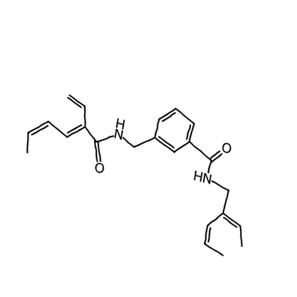 C=C/C(=C\C=C/C)C(=O)NCc1cccc(C(=O)NCC(/C=C\C)=C/C)c1